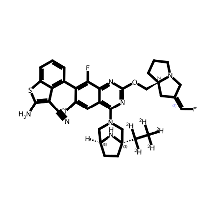 [2H]C([2H])([2H])C([2H])([2H])[C@@]12CC[C@@H](CN(c3nc(OC[C@@]45CCCN4C/C(=C\F)C5)nc4c(F)c(-c5cccc6sc(N)c(C#N)c56)c(Cl)cc34)C1)N2